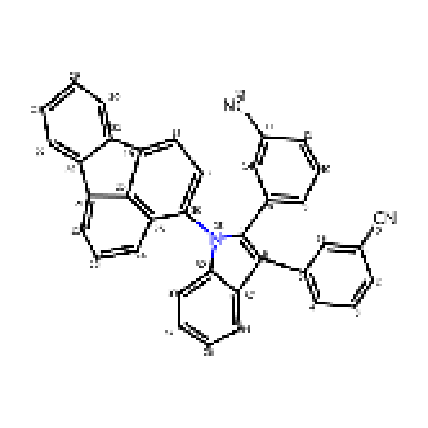 N#Cc1cccc(-c2c(-c3cccc(C#N)c3)n(-c3ccc4c5c(cccc35)-c3ccccc3-4)c3ccccc23)c1